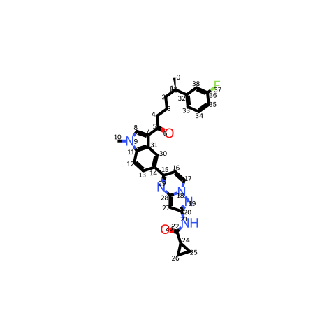 C[C@H](CCCC(=O)c1cn(C)c2ccc(-c3ccn4nc(NC(=O)C5CC5)cc4n3)cc12)c1cccc(F)c1